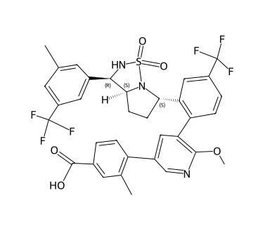 COc1ncc(-c2ccc(C(=O)O)cc2C)cc1-c1ccc(C(F)(F)F)cc1[C@@H]1CC[C@H]2[C@@H](c3cc(C)cc(C(F)(F)F)c3)NS(=O)(=O)N12